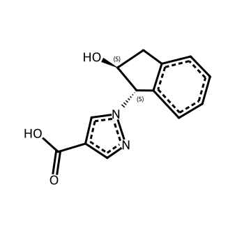 O=C(O)c1cnn([C@H]2c3ccccc3C[C@@H]2O)c1